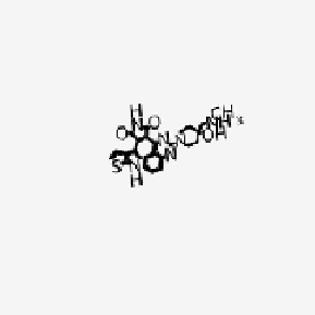 CNCC1(O)CCN(c2nc(C3=C(c4c[nH]c5sccc45)C(=O)NC3=O)c3ccccc3n2)CC1